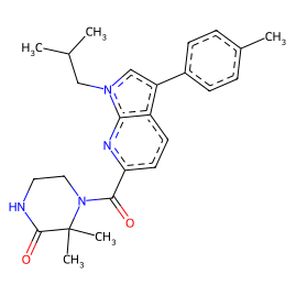 Cc1ccc(-c2cn(CC(C)C)c3nc(C(=O)N4CCNC(=O)C4(C)C)ccc23)cc1